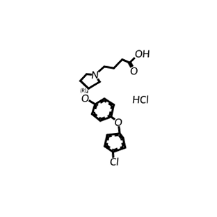 Cl.O=C(O)CCCN1CC[C@@H](Oc2ccc(Oc3ccc(Cl)cc3)cc2)C1